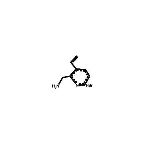 Br.C=Cc1cccnc1CN